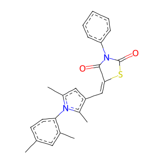 Cc1ccc(-n2c(C)cc(/C=C3/SC(=O)N(c4ccccc4)C3=O)c2C)c(C)c1